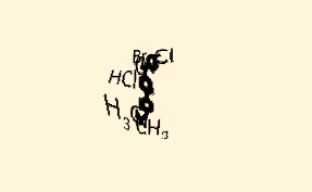 CN(C)Cc1ccc(-c2ccc(C(=O)c3ccc(Cl)cc3Br)cc2)cc1.Cl